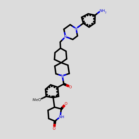 COc1ccc(C(=O)N2CCC3(CCC(CN4CCN(c5ccc(N)cc5)CC4)CC3)CC2)cc1C1CCC(=O)NC1=O